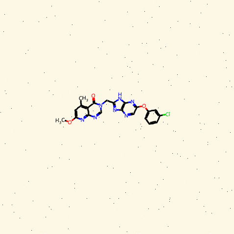 COc1cc(C)c2c(=O)n(Cc3nc4ncc(Oc5cccc(Cl)c5)nc4[nH]3)cnc2n1